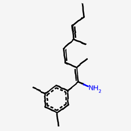 CC/C=C(C)/C=C\C(C)=C(\N)c1cc(C)cc(C)c1